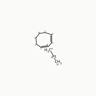 C1=CCCCCC=C1.[CH3][Pt][CH3]